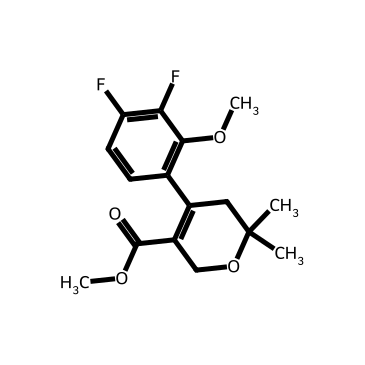 COC(=O)C1=C(c2ccc(F)c(F)c2OC)CC(C)(C)OC1